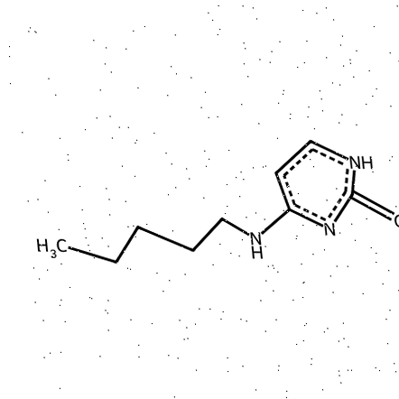 CCCCCNc1cc[nH]c(=O)n1